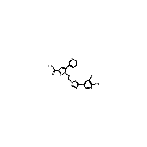 N#Cc1ncc(-c2ccn(CCn3nc(C(N)=O)cc3-c3cccnc3)n2)cc1Cl